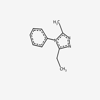 CCc1nnc(C)n1-c1ccccc1